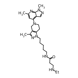 CCNCCC(=O)NCCCCCn1nc(C)c2c1CCN(c1cc(C)nc3c1cnn3C)C2